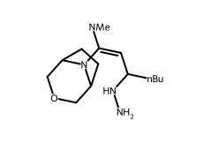 CCCCC(/C=C(/NC)N1C2CCC1COC2)NN